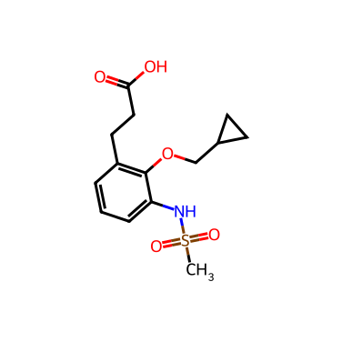 CS(=O)(=O)Nc1cccc(CCC(=O)O)c1OCC1CC1